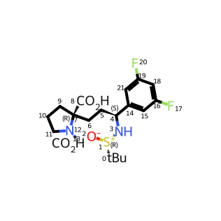 CC(C)(C)[S@+]([O-])N[C@@H](CC[C@@]1(C(=O)O)CCCN1C(=O)O)c1cc(F)cc(F)c1